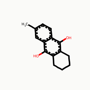 Cc1ccc2c(O)c3c(c(O)c2c1)CCCC3